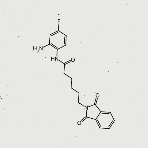 Nc1cc(F)ccc1NC(=O)CCCCCN1C(=O)c2ccccc2C1=O